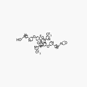 O=C(Nc1cncc(C(F)(F)F)c1)N(c1ccc(Oc2ccnc(-c3cnn(CCO)c3)c2)cc1F)N(C(=O)Nc1cncc(C(F)(F)F)c1)c1ccc(Oc2ccnc(-c3cnn(CCN4CCOCC4)c3)c2)cc1F